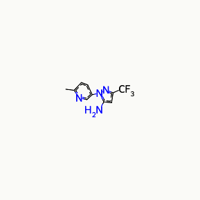 Cc1ccc(-n2nc(C(F)(F)F)cc2N)cn1